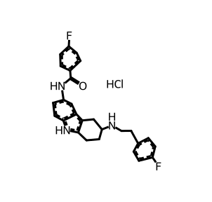 Cl.O=C(Nc1ccc2[nH]c3c(c2c1)CC(NCCc1ccc(F)cc1)CC3)c1ccc(F)cc1